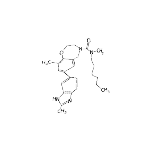 CCCCCCN(C)C(=O)N1CCOc2c(C)cc(-c3ccc4nc(C)[nH]c4c3)cc2C1